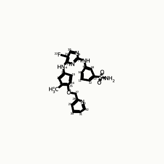 Cc1cc(Nc2nc(Nc3cccc(S(N)(=O)=O)c3)ncc2F)ccc1OCc1ccccn1